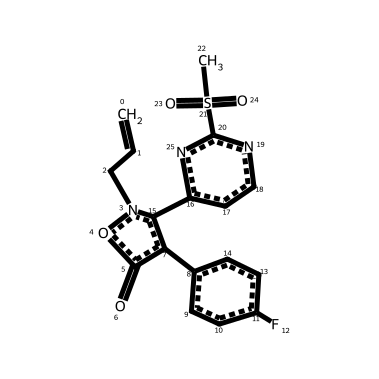 C=CCn1oc(=O)c(-c2ccc(F)cc2)c1-c1ccnc(S(C)(=O)=O)n1